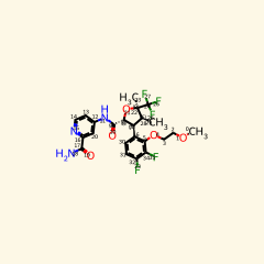 COCCOc1c([C@H]2[C@H](C(=O)Nc3ccnc(C(N)=O)c3)O[C@@](C)(C(F)(F)F)[C@H]2C)ccc(F)c1F